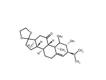 CC(=O)OC1[C@H](O)[C@@H](N(C)C)C=C2CC[C@H]3[C@@H]4CCC5(OCCO5)[C@@]4(C)CC(=O)[C@@H]3[C@]21C